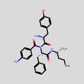 CSCC[C@H](NC(=O)[C@H](Cc1ccccc1)N(C(=O)c1ccc(N)cc1)C(=O)[C@@H](N)Cc1ccc(O)cc1)C(=O)O